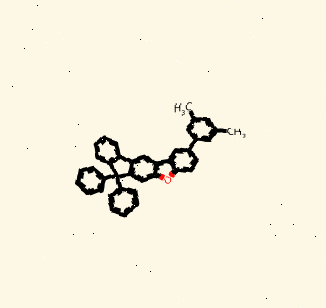 Cc1cc(C)cc(-c2ccc3oc4cc5c(cc4c3c2)-c2ccccc2C5(c2ccccc2)c2ccccc2)c1